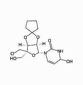 O=C1NC(O)C=CN1[C@@H]1O[C@@](CO)(CCl)[C@H]2OC3(CCCC3)O[C@@H]12